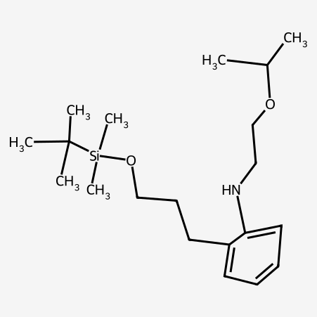 CC(C)OCCNc1ccccc1CCCO[Si](C)(C)C(C)(C)C